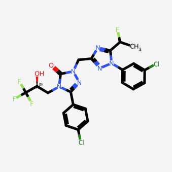 CC(F)c1nc(Cn2nc(-c3ccc(Cl)cc3)n(C[C@H](O)C(F)(F)F)c2=O)nn1-c1cccc(Cl)c1